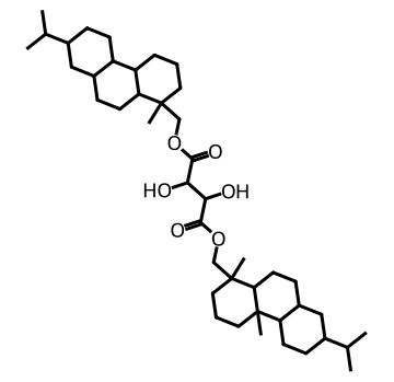 CC(C)C1CCC2C(CCC3C2CCCC3(C)COC(=O)C(O)C(O)C(=O)OCC2(C)CCCC3(C)C4CCC(C(C)C)CC4CCC23)C1